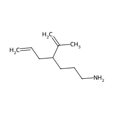 C=CCC(CCCN)C(=C)C